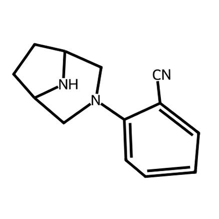 N#Cc1ccccc1N1CC2CCC(C1)N2